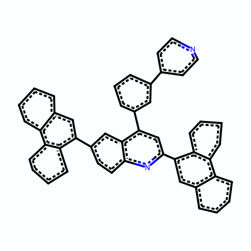 c1cc(-c2ccncc2)cc(-c2cc(-c3cc4ccccc4c4ccccc34)nc3ccc(-c4cc5ccccc5c5ccccc45)cc23)c1